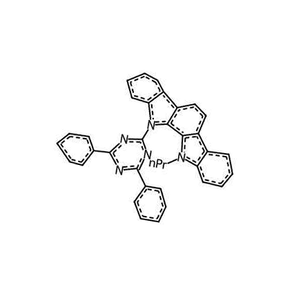 CCCn1c2ccccc2c2ccc3c4ccccc4n(-c4nc(-c5ccccc5)nc(-c5ccccc5)n4)c3c21